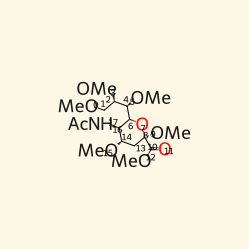 COC[C@@H](OC)[C@@H](OC)C1O[C@@](OC)(C(=O)OC)C[C@@H](OC)[C@H]1NC(C)=O